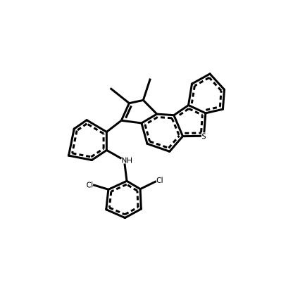 CC1=C(c2ccccc2Nc2c(Cl)cccc2Cl)c2ccc3sc4ccccc4c3c2C1C